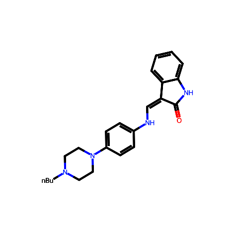 CCCCN1CCN(c2ccc(NC=C3C(=O)Nc4ccccc43)cc2)CC1